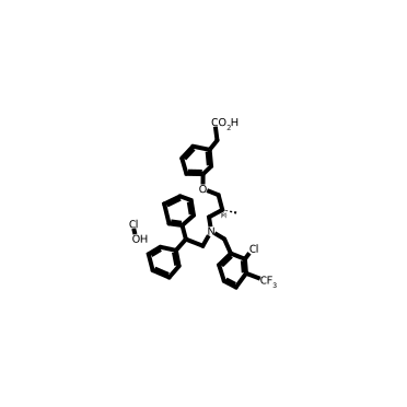 C[C@@H](COc1cccc(CC(=O)O)c1)CN(Cc1cccc(C(F)(F)F)c1Cl)CC(c1ccccc1)c1ccccc1.OCl